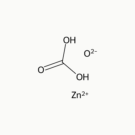 O=C(O)O.[O-2].[Zn+2]